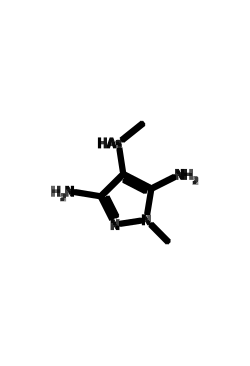 C[AsH]c1c(N)nn(C)c1N